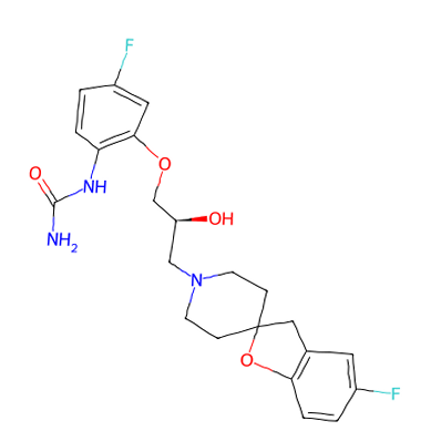 NC(=O)Nc1ccc(F)cc1OC[C@@H](O)CN1CCC2(CC1)Cc1cc(F)ccc1O2